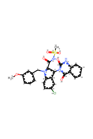 COc1cccc(Cn2c(C(=O)NS(C)(=O)=O)c(-n3c(=O)[nH]c4ccccc4c3=O)c3cc(Cl)ccc32)c1